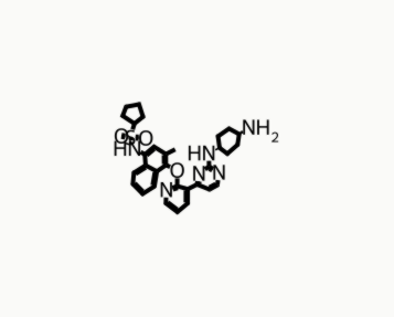 Cc1cc(NS(=O)(=O)C2CCCC2)c2ccccc2c1Oc1ncccc1-c1ccnc(N[C@H]2CC[C@H](N)CC2)n1